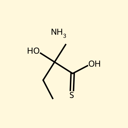 CCC(C)(O)C(O)=S.N